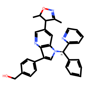 CC1=NOC(C)C1c1cnc2c(-c3ccc(CO)cc3)cn([C@H](c3ccccc3)c3ccccn3)c2c1